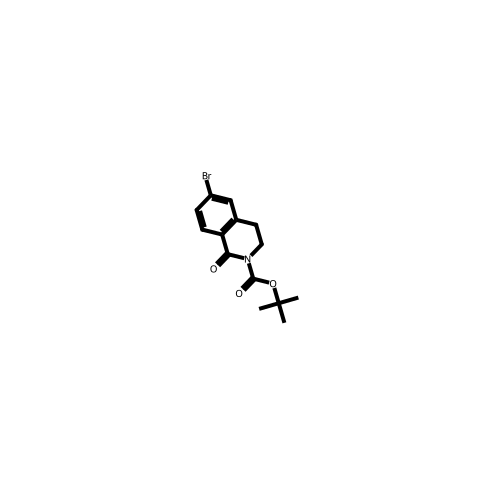 CC(C)(C)OC(=O)N1CCc2cc(Br)ccc2C1=O